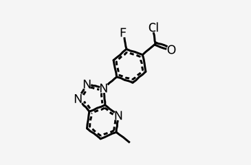 Cc1ccc2nnn(-c3ccc(C(=O)Cl)c(F)c3)c2n1